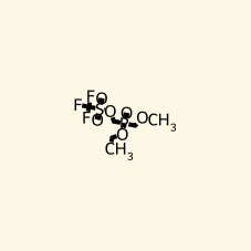 CCOP(=O)(COC)COS(=O)(=O)C(F)(F)F